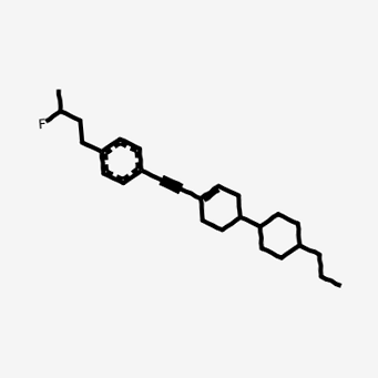 CCCC1CCC(C2CC=C(C#Cc3ccc(CCC(C)F)cc3)CC2)CC1